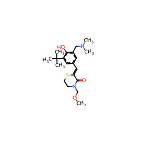 COCN1CCSC(=Cc2cc(CN(C)C)c(O)c(C(C)(C)C)c2)C1=O